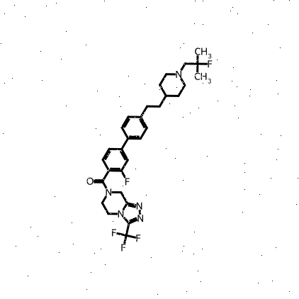 CC(C)(F)CN1CCC(CCc2ccc(-c3ccc(C(=O)N4CCn5c(nnc5C(F)(F)F)C4)c(F)c3)cc2)CC1